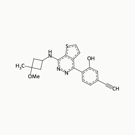 C#Cc1ccc(-c2nnc(NC3CC(C)(OC)C3)c3sccc23)c(O)c1